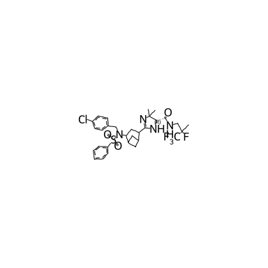 CC1(C)N=C(C2CC(N(Cc3ccc(Cl)cc3)S(=O)(=O)c3ccccc3)C3CC2C3)N[C@H]1C(=O)NCC(C)(F)C(F)(F)F